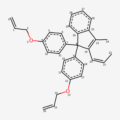 C=CCOc1ccc(C2(c3ccc(OCC=C)cc3)C(/C=C\C)=C(C)c3ccccc32)cc1